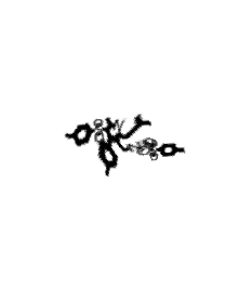 Cc1ccc(-c2c(CNOS(=O)(=O)c3ccc(C)cc3)c(CC(C)C)nc(C)c2S(=O)(=O)c2ccc(C)cc2)cc1